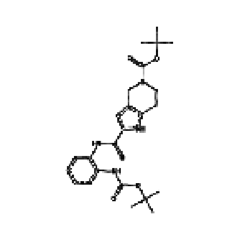 CC(C)(C)OC(=O)Nc1ccccc1NC(=O)c1cc2c([nH]1)CCN(C(=O)OC(C)(C)C)C2